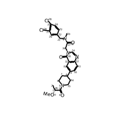 CO[C@H](C)C(=O)N1CCC(c2ccc3ncn(CC(=O)N(C)Cc4ccc(Cl)c(Cl)c4)c(=O)c3c2)CC1